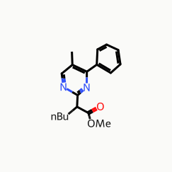 CCCCC(C(=O)OC)c1ncc(C)c(-c2ccccc2)n1